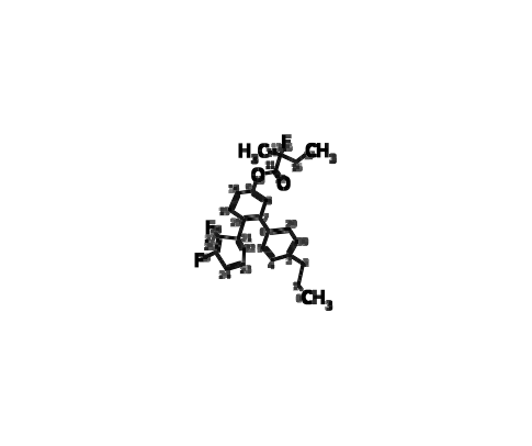 CCCc1ccc(-c2cc(OC(=O)C(C)(F)CC)ccc2-c2cccc(F)c2F)cc1